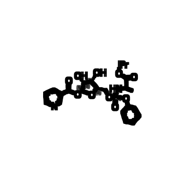 CC(C)OC(=O)C(C)N[P@](=O)(OC[C@H]1O[C@@H](OC(=O)c2cccnc2)[C@H](O)[C@@H]1O)Oc1ccccc1